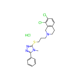 Cl.Cn1c(SCCCN2CCc3ccc(Cl)c(Cl)c3C2)nnc1-c1ccccc1